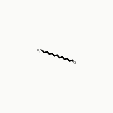 [SiH3]CCCCCCCCCCCCCl